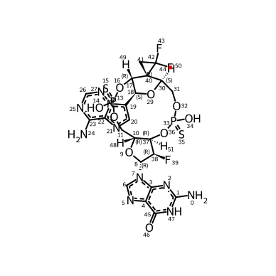 Nc1nc2c(ncn2[C@@H]2O[C@@H]3COP(O)(=S)O[C@H]4[C@H](c5cnc6c(N)ncnn56)O[C@H](COP(O)(=S)O[C@H]3[C@H]2F)[C@]42CC2(F)F)c(=O)[nH]1